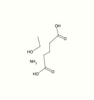 CCO.N.O=C(O)CCCC(=O)O